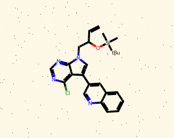 C=CC(Cn1cc(-c2cnc3ccccc3c2)c2c(Cl)ncnc21)O[Si](C)(C)C(C)(C)C